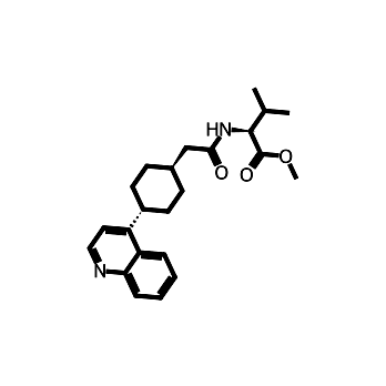 COC(=O)[C@@H](NC(=O)C[C@H]1CC[C@H](c2ccnc3ccccc32)CC1)C(C)C